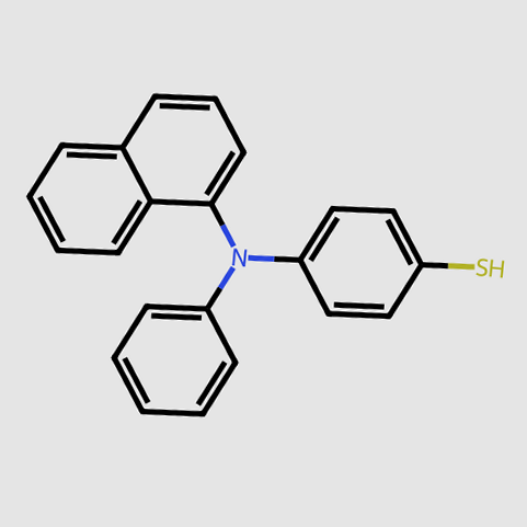 Sc1ccc(N(c2ccccc2)c2cccc3ccccc23)cc1